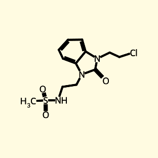 CS(=O)(=O)NCCn1c(=O)n(CCCl)c2ccccc21